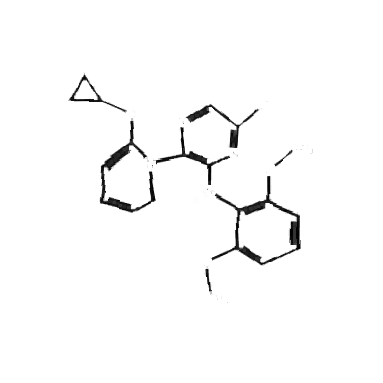 COc1cccc(OC)c1Nc1nc(Cl)cnc1N1CC=CC=C1OC1CC1